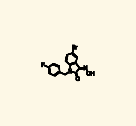 O=C1/C(=N\O)c2cc(Br)ccc2N1Cc1ccc(F)cc1